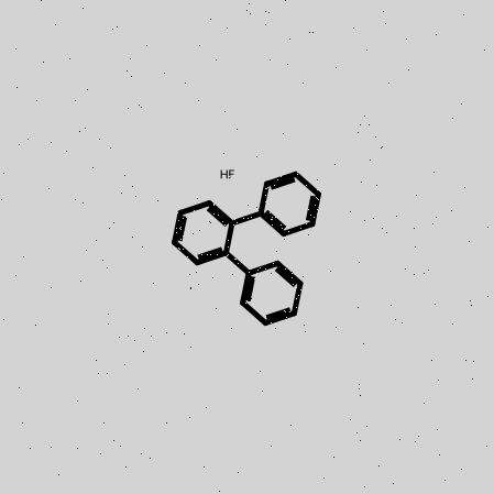 F.c1ccc(-c2ccccc2-c2ccccc2)cc1